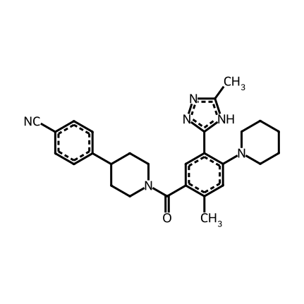 Cc1nnc(-c2cc(C(=O)N3CCC(c4ccc(C#N)cc4)CC3)c(C)cc2N2CCCCC2)[nH]1